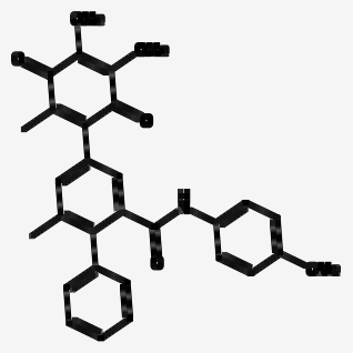 COC1=C(OC)C(=O)C(c2cc(C)c(-c3ccccc3)c(C(=O)Nc3ccc(OC)cc3)c2)=C(C)C1=O